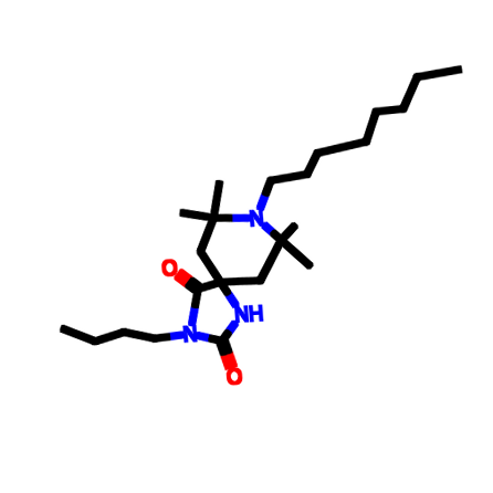 CCCCCCCCN1C(C)(C)CC2(CC1(C)C)NC(=O)N(CCCC)C2=O